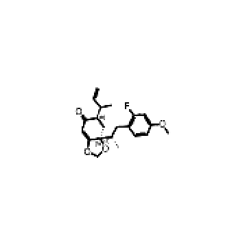 C=CC(C)[C@H]1C[C@]2([C@@H](C)Cc3ccc(OC)cc3F)OCOC2=CC1=O